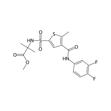 COC(=O)C(C)(C)NS(=O)(=O)c1cc(C(=O)Nc2ccc(F)c(F)c2)c(C)s1